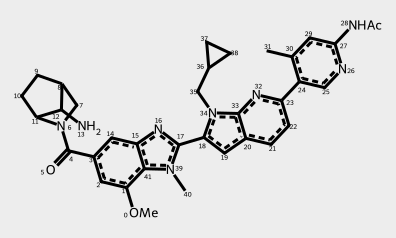 COc1cc(C(=O)N2CC3CCC2C3N)cc2nc(-c3cc4ccc(-c5cnc(NC(C)=O)cc5C)nc4n3CC3CC3)n(C)c12